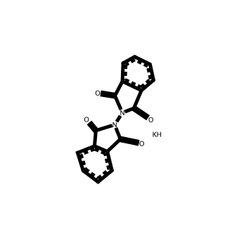 O=C1c2ccccc2C(=O)N1N1C(=O)c2ccccc2C1=O.[KH]